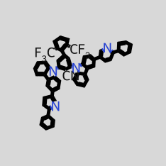 N#Cc1c(-n2c3ccccc3c3cc(-c4ccc(-c5ccccc5)nc4)ccc32)cc(-c2c(C(F)(F)F)cccc2C(F)(F)F)cc1-n1c2ccccc2c2cc(-c3ccc(-c4ccccc4)nc3)ccc21